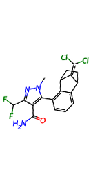 Cn1nc(C(F)F)c(C(N)=O)c1-c1cccc2c1C1CCC2C1=C(Cl)Cl